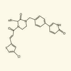 CCCC1C(=O)N(Cc2ccc(-c3ccc(=O)[nH]c3)cc2)CCN1C(=O)/C=C/c1cc(Cl)cs1